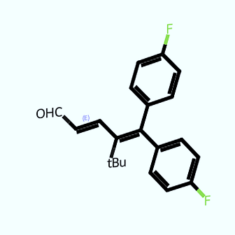 CC(C)(C)C(/C=C/C=O)=C(c1ccc(F)cc1)c1ccc(F)cc1